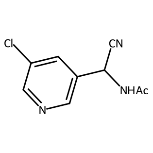 CC(=O)NC(C#N)c1cncc(Cl)c1